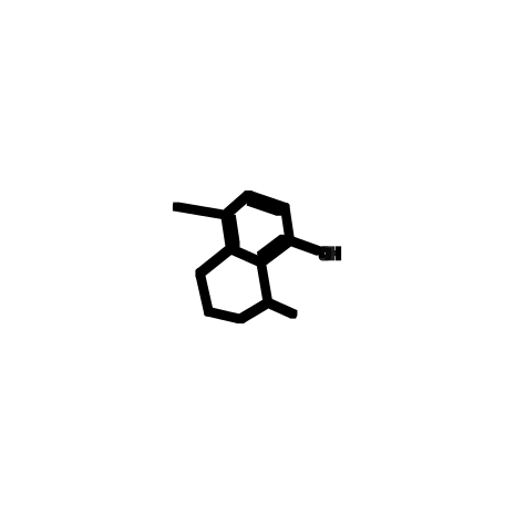 Cc1ccc(O)c2c1CCCC2C